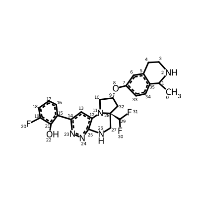 CC1NCCc2cc(O[C@H]3CN4c5cc(-c6cccc(F)c6O)nnc5NC[C@@]4(C(F)F)C3)ccc21